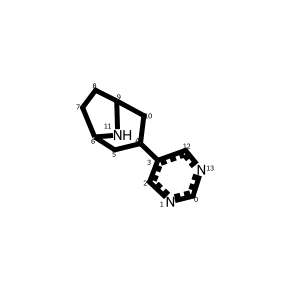 c1ncc(C2CC3CCC(C2)N3)cn1